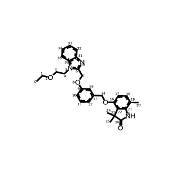 CCOCCn1c(COc2cccc(COc3ccc(C)c4c3C(C)(C)C(=O)N4)c2)nc2ccccc21